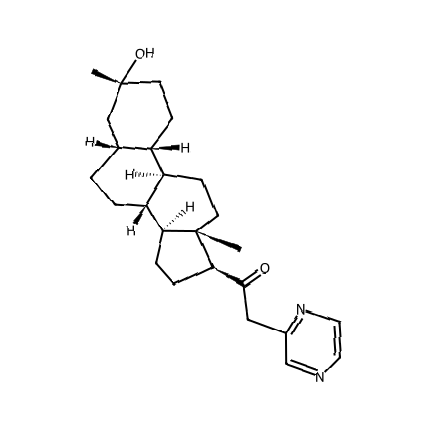 C[C@@]1(O)CC[C@H]2[C@H](CC[C@@H]3[C@@H]2CC[C@]2(C)[C@@H](C(=O)Cc4cnccn4)CC[C@@H]32)C1